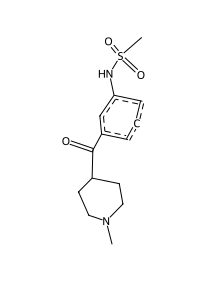 CN1CCC(C(=O)c2cccc(NS(C)(=O)=O)c2)CC1